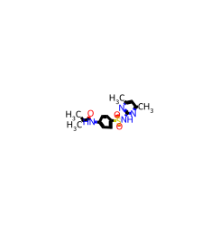 Cc1cc(C)nc(NS(=O)(=O)c2ccc(NC(=O)C(C)C)cc2)n1